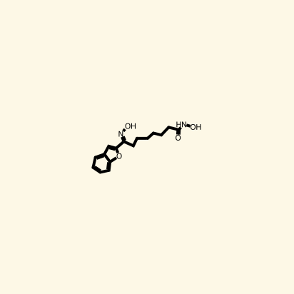 O=C(CCCCCCC(=NO)c1cc2ccccc2o1)NO